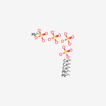 O=P([O-])([O-])[O-].O=P([O-])([O-])[O-].O=P([O-])([O-])[O-].O=P([O-])([O-])[O-].[Ca+2].[Ca+2].[Ca+2].[Pb+2].[Pb+2].[Pb+2]